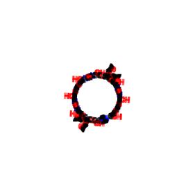 OC1COCCOCC(O)CN2CCN(CC2)CC(O)COCC(COCC2CO2)(COCC2CO2)COCC(O)CN2CCN(CC2)CC(O)COCCOCC(O)CN2CCN(CC2)CC(O)COCC(COCC2CO2)(COCC2CO2)COCC(O)CN2CCN(CC2)C1